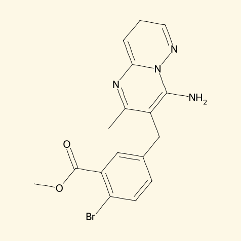 COC(=O)c1cc(CC2=C(N)N3N=CCC=C3N=C2C)ccc1Br